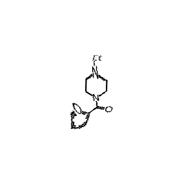 [CH2]CN1CCN(C(=O)c2ccco2)CC1